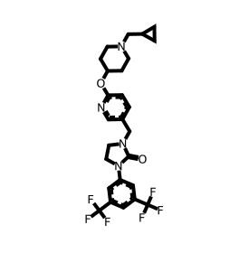 O=C1N(Cc2ccc(OC3CCN(CC4CC4)CC3)nc2)CCN1c1cc(C(F)(F)F)cc(C(F)(F)F)c1